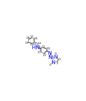 CN1C=CN(C)C1N=Nc1ccc(NCc2ccccc2)cc1